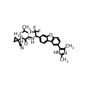 Cc1nc(C)c(-c2ccc3oc4cc([C@H](N[C@@H](CC(C)C)C(=O)NC5(C#N)CC5)C(F)(F)F)ccc4c3c2)[nH]1